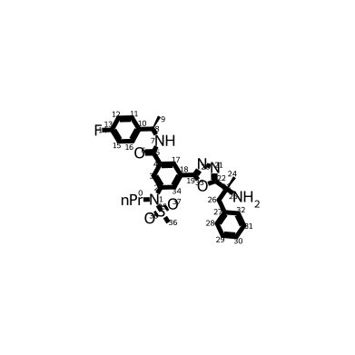 CCCN(c1cc(C(=O)N[C@H](C)c2ccc(F)cc2)cc(-c2nnc([C@](C)(N)Cc3ccccc3)o2)c1)S(C)(=O)=O